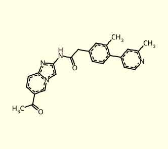 CC(=O)c1ccc2nc(NC(=O)Cc3ccc(-c4ccnc(C)c4)c(C)c3)cn2c1